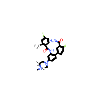 C[C@@H]1CN(c2ccc(-c3ccc(F)c(C(N)=O)c3)c(NC(=O)c3ccc(F)cc3C(F)(F)F)c2)CCN1C